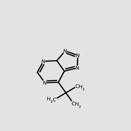 CC(C)(C)C1=NC=NC2N=NN=C12